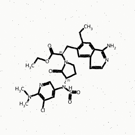 CCOC(=O)[C@@H](Cc1cc2ccnc(N)c2cc1CC)N1CC[C@H](N(c2cnc(N(C)C)c(Cl)c2)[SH](=O)=O)C1=O